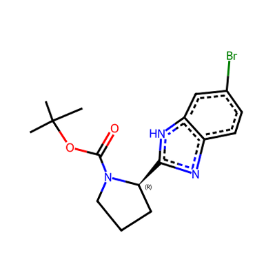 CC(C)(C)OC(=O)N1CCC[C@@H]1c1nc2ccc(Br)cc2[nH]1